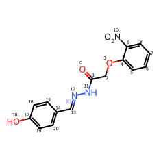 O=C(COc1ccccc1[N+](=O)[O-])N/N=C/c1ccc(O)cc1